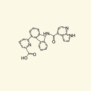 O=C(O)c1cccc(-c2cccc3c2-c2ccccc2C3NC(=O)c2ccnc3[nH]ccc23)n1